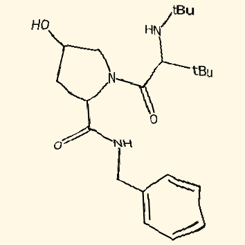 CC(C)(C)NC(C(=O)N1CC(O)CC1C(=O)NCc1ccccc1)C(C)(C)C